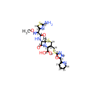 CON=C(C(=O)N[C@@H]1C(=O)N2C(C(=O)O)=C(CSc3nnc(-c4ccccn4)o3)CS[C@@H]12)c1csc(N)n1